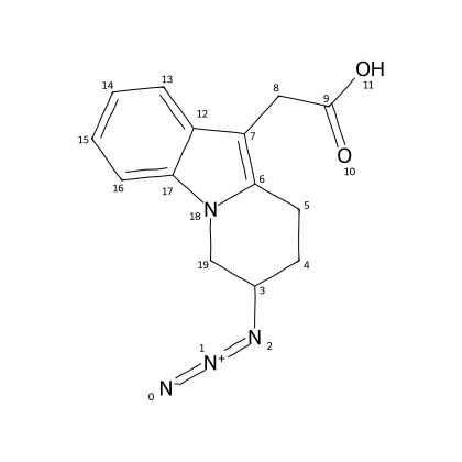 [N-]=[N+]=NC1CCc2c(CC(=O)O)c3ccccc3n2C1